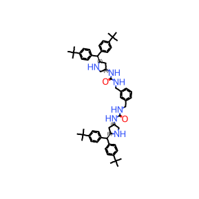 CC(C)(C)c1ccc(C(c2ccc(C(C)(C)C)cc2)[C@H]2C[C@@H](NC(=O)NCc3cccc(CNC(=O)N[C@H]4CN[C@@H](C(c5ccc(C(C)(C)C)cc5)c5ccc(C(C)(C)C)cc5)C4)c3)CN2)cc1